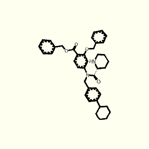 O=C(OCc1ccccc1)c1ccc(N(Cc2ccc(C3CCCCC3)cc2)C(=O)[C@H]2CCCCN2)cc1OCc1ccccc1